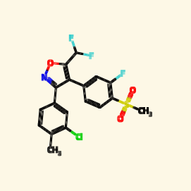 Cc1ccc(-c2noc(C(F)F)c2-c2ccc(S(C)(=O)=O)c(F)c2)cc1Cl